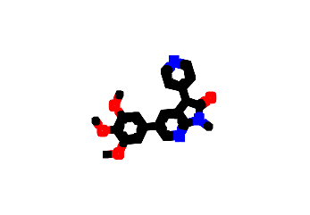 COc1cc(-c2cnc3c(c2)C(c2ccncc2)C(=O)N3C)cc(OC)c1OC